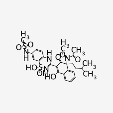 CON(C(C)=O)C1(CCC(C)C)C(=O)C(C2=NS(O)(O)c3cc(NS(C)(=O)=O)ccc3N2)=C(O)c2ccccc21